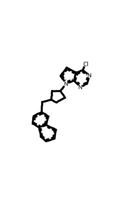 Clc1ncnc2c1ccn2C1CCC(Cc2ccc3ccccc3c2)C1